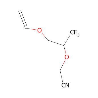 C=COCC(OCC#N)C(F)(F)F